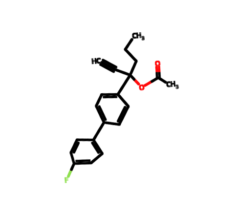 C#CC(CCC)(OC(C)=O)c1ccc(-c2ccc(F)cc2)cc1